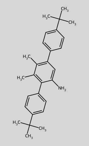 Cc1c(-c2ccc(C(C)(C)C)cc2)cc(N)c(-c2ccc(C(C)(C)C)cc2)c1C